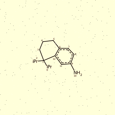 CC(C)C1(C(C)C)CCCc2ccc(N)cc21